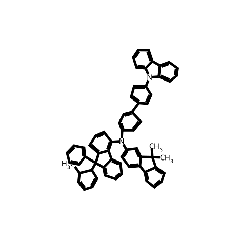 CC1C=CC=CC1C1(c2ccccc2)c2ccccc2-c2c(N(c3ccc(-c4ccc(-n5c6ccccc6c6ccccc65)cc4)cc3)c3ccc4c(c3)C(C)(C)c3ccccc3-4)cccc21